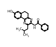 CC(C)Cc1nc2c(nc1NC(=O)c1ccccc1)CCc1cc(O)ccc1-2